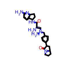 N/C(=C\N(N)Cc1ccc(C2CC3CCCN3C2=O)cc1)C(=O)NC1CCc2nc(N)ccc21